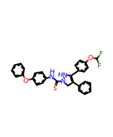 FC(F)Oc1ccc(C2=C(c3ccccc3)CN(C(=S)Nc3ccc(Oc4ccccc4)cc3)N2)cc1